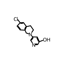 Oc1cncc(N2CCc3cc(Cl)ccc3C2)c1